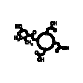 CC(C)N(CC(=O)O)C(=O)CN1CCN(CC(=O)O)CCN(CC(=O)O)CCN(CC(=O)O)CC1